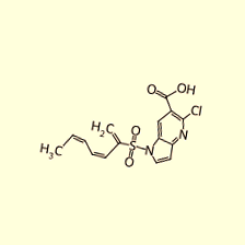 C=C(/C=C\C=C/C)S(=O)(=O)n1ccc2nc(Cl)c(C(=O)O)cc21